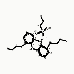 CCCCc1cccc2c1Oc1cccc(CCCC)c1N2OS(=O)(=O)CCC